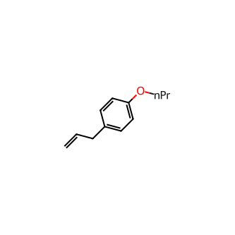 C=CCc1ccc(OCCC)cc1